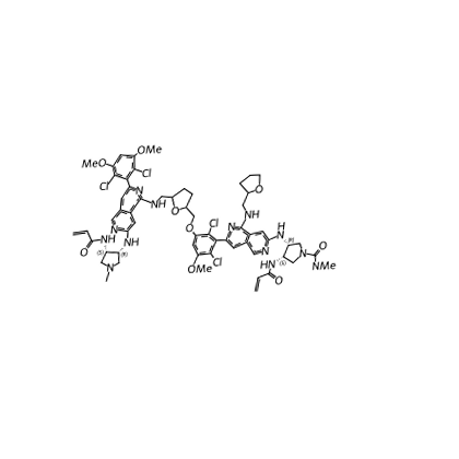 C=CC(=O)N[C@H]1CN(C)C[C@H]1Nc1cc2c(NCC3CCC(COc4cc(OC)c(Cl)c(-c5cc6cnc(N[C@@H]7CN(C(=O)NC)C[C@@H]7NC(=O)C=C)cc6c(NCC6CCCO6)n5)c4Cl)O3)nc(-c3c(Cl)c(OC)cc(OC)c3Cl)cc2cn1